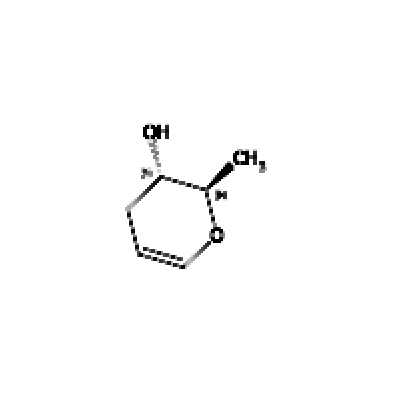 C[C@H]1OC=CC[C@@H]1O